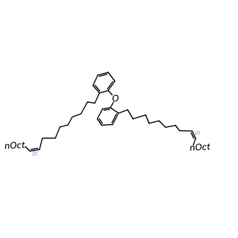 CCCCCCCC/C=C\CCCCCCCCc1ccccc1Oc1ccccc1CCCCCCCC/C=C\CCCCCCCC